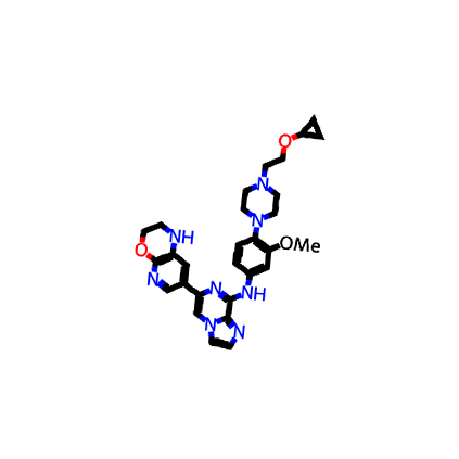 COc1cc(Nc2nc(-c3cnc4c(c3)NCCO4)cn3ccnc23)ccc1N1CCN(CCOC2CC2)CC1